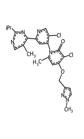 Cc1cnc(C(C)C)nc1-c1cc(-n2c(C)cc(OCc3ccn(C)n3)c(Cl)c2=O)c(Cl)cn1